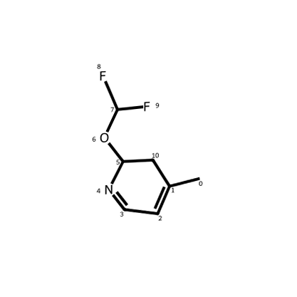 CC1=CC=NC(OC(F)F)C1